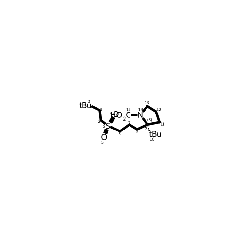 CC(C)(C)CCS(=O)(=O)CCC[C@]1(C(C)(C)C)CCCN1C(=O)O